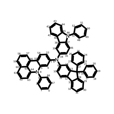 c1ccc(N2c3cc(N(c4ccc5c(c4)C(c4ccccc4)(c4ccccc4)c4ccccc4-5)c4ccc5c(c4)c4ccccc4n5-c4ccccc4)ccc3-c3cccc4cccc2c34)cc1